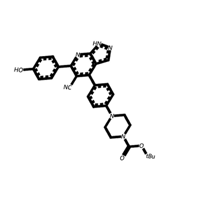 CC(C)(C)OC(=O)N1CCN(c2ccc(-c3c(C#N)c(-c4ccc(O)cc4)nc4[nH]ncc34)cc2)CC1